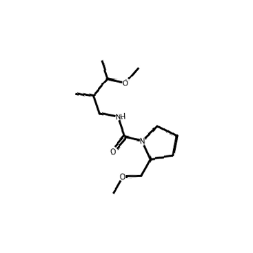 COCC1CCCN1C(=O)NCC(C)C(C)OC